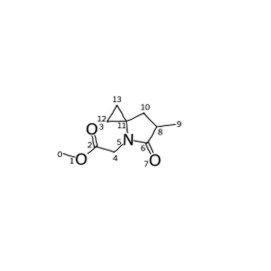 COC(=O)CN1C(=O)C(C)CC12CC2